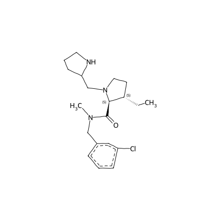 CC[C@H]1CCN(CC2CCCN2)[C@@H]1C(=O)N(C)Cc1cccc(Cl)c1